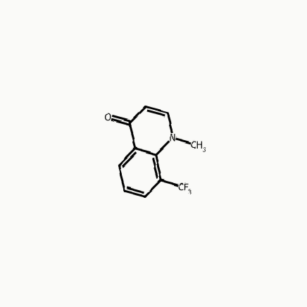 Cn1ccc(=O)c2cccc(C(F)(F)F)c21